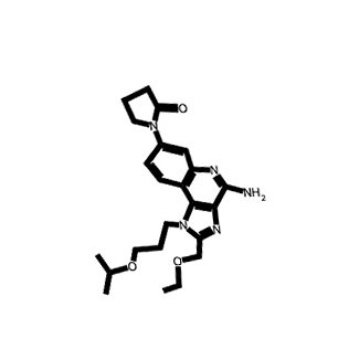 CCOCc1nc2c(N)nc3cc(N4CCCC4=O)ccc3c2n1CCCOC(C)C